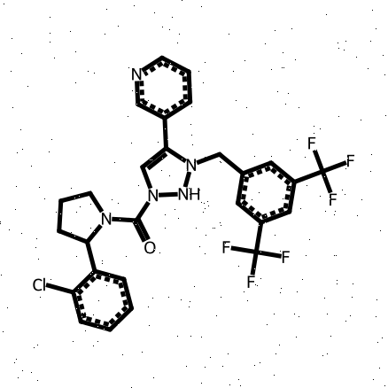 O=C(N1C=C(c2cccnc2)N(Cc2cc(C(F)(F)F)cc(C(F)(F)F)c2)N1)N1CCCC1c1ccccc1Cl